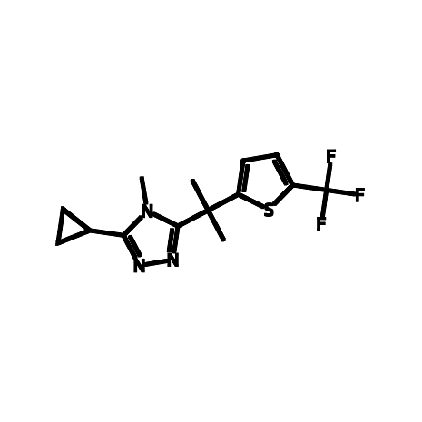 Cn1c(C2CC2)nnc1C(C)(C)c1ccc(C(F)(F)F)s1